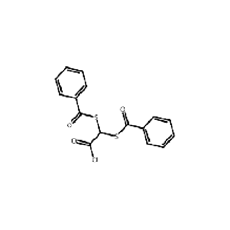 O=C(SC(SC(=O)c1ccccc1)C(=O)Cl)c1ccccc1